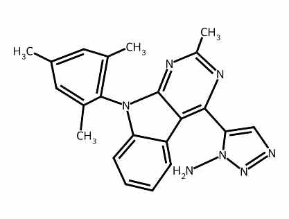 Cc1cc(C)c(-n2c3ccccc3c3c(-c4cnnn4N)nc(C)nc32)c(C)c1